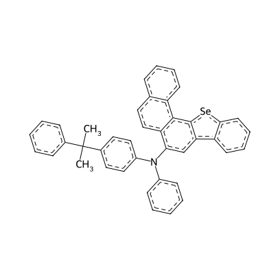 CC(C)(c1ccccc1)c1ccc(N(c2ccccc2)c2cc3c4ccccc4[se]c3c3c2ccc2ccccc23)cc1